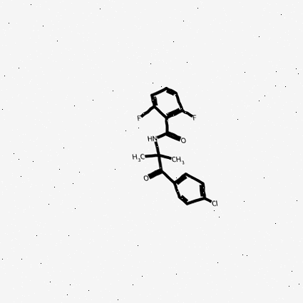 CC(C)(NC(=O)c1c(F)cccc1F)C(=O)c1ccc(Cl)cc1